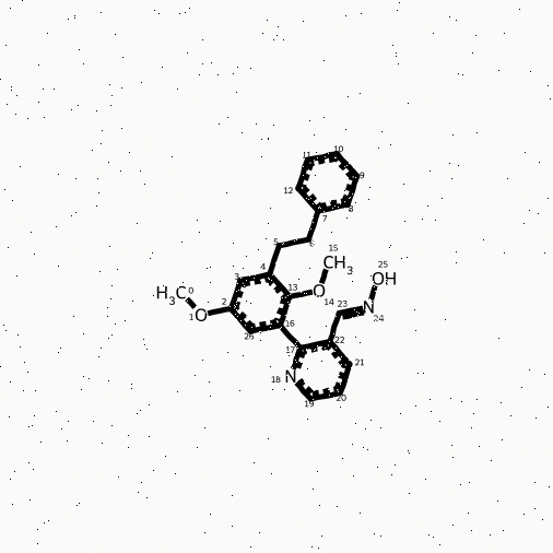 COc1cc(CCc2ccccc2)c(OC)c(-c2ncccc2C=NO)c1